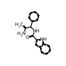 C=C(N)C(NC(=O)c1cc2ccccc2[nH]1)c1ccccc1